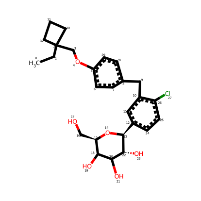 CCC1(COc2ccc(Cc3cc([C@@H]4O[C@H](CO)C(O)C(O)[C@H]4O)ccc3Cl)cc2)CCC1